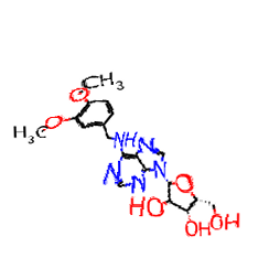 COc1ccc(CNc2ncnc3c2ncn3[C@@H]2O[C@H](CO)[C@H](O)C2O)cc1OC